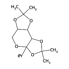 CC(C)C12OCC3OC(C)(C)OC3C1OC(C)(C)O2